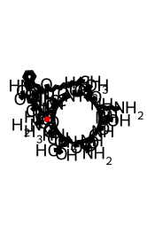 CCCCCCCCCC(=O)NC(Cc1c[nH]c2ccccc12)C(=O)NC(CCC(=O)O)C(=O)NC(CC(N)=O)C(=O)NC1C(=O)N(C)CC(=O)NC(C)C(=O)NC(CC(=O)O)C(=O)NC(CCCCN)C(=O)NC(CC(=O)O)C(=O)NCC(=O)NC(CC(N)=O)C(=O)NC(CCC(=O)O)C(=O)NC(C(C)C)C(=O)OC1C